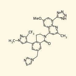 COc1cc(-c2nnn[nH]2)c2nc(C)cc(N3CCc4c(cc(Cn5ccnc5)cc4-c4cn(C)nc4C(F)(F)F)C3=O)c2c1